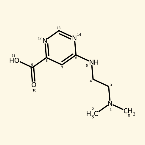 CN(C)CCNc1cc(C(=O)O)ncn1